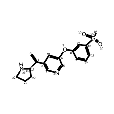 C=C(c1cncc(Oc2cccc(S(C)(=O)=O)c2)c1)[C@H]1CCCN1